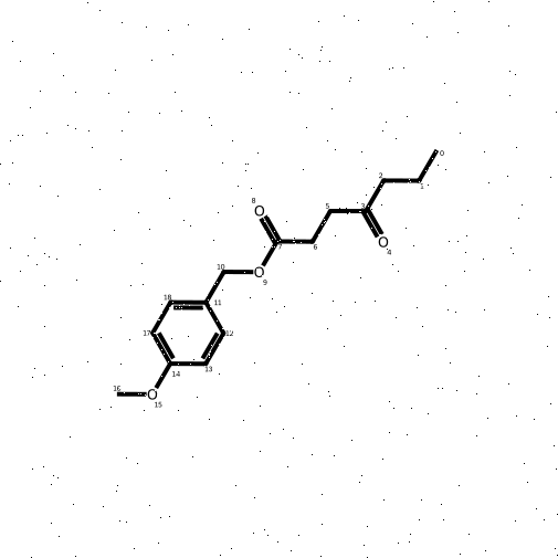 CCCC(=O)CCC(=O)OCc1ccc(OC)cc1